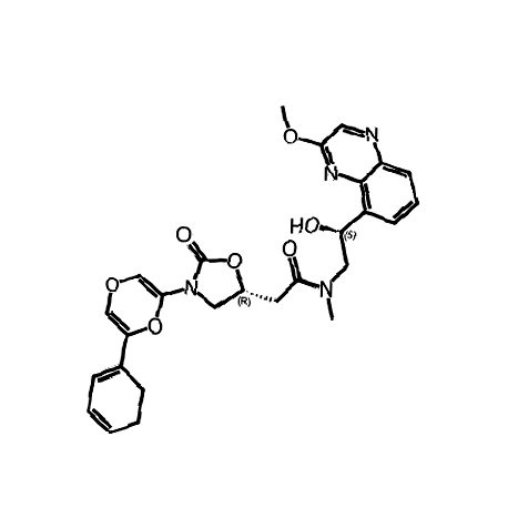 COc1cnc2cccc([C@H](O)CN(C)C(=O)C[C@@H]3CN(C4=COC=C(C5=CC=CCC5)O4)C(=O)O3)c2n1